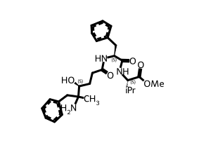 COC(=O)[C@@H](NC(=O)[C@H](Cc1ccccc1)NC(=O)CC[C@H](O)C(C)(N)Cc1ccccc1)C(C)C